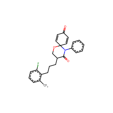 O=C1C=CC2(C=C1)OCC(CCCc1c(F)cccc1C(F)(F)F)C(=O)N2c1ccccc1